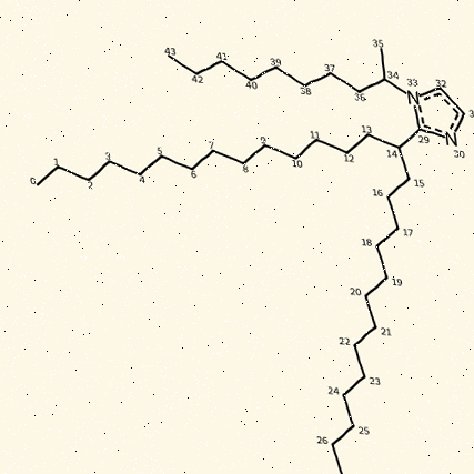 CCCCCCCCCCCCCCC(CCCCCCCCCCCCCC)c1nccn1C(C)CCCCCCCC